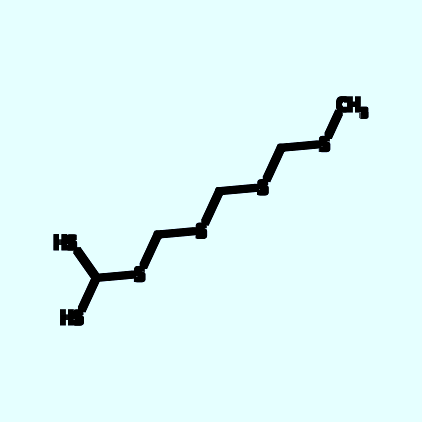 CSCSCSCSC(S)S